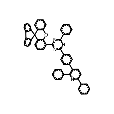 c1ccc(-c2ccc(-c3ccc(-c4nc(-c5ccccc5)nc(-c5cccc6c5Oc5ccccc5C65c6ccccc6-c6ccccc65)n4)cc3)c(-c3ccccc3)n2)cc1